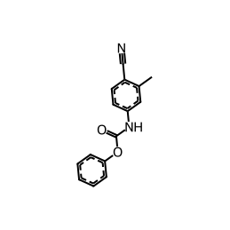 Cc1cc(NC(=O)Oc2ccccc2)ccc1C#N